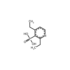 CCc1ccnc(CC)c1P(=O)(O)O